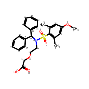 COc1cc(C)c(S(=O)(=O)N(CCOCC(=O)O)C(c2ccccc2)c2ccccc2)c(C)c1